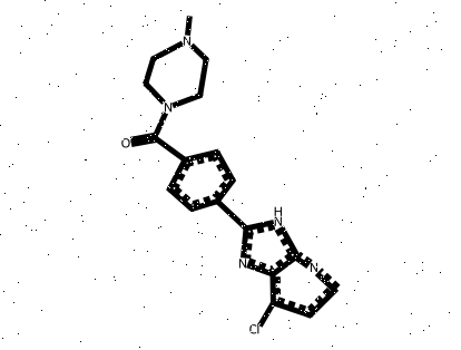 CN1CCN(C(=O)c2ccc(-c3nc4c(Cl)ccnc4[nH]3)cc2)CC1